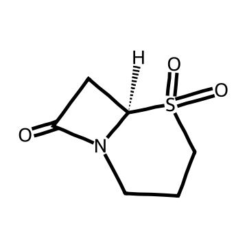 O=C1C[C@@H]2N1CCCS2(=O)=O